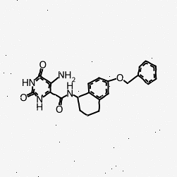 Nc1c(C(=O)NC2CCCc3cc(OCc4ccccc4)ccc32)[nH]c(=O)[nH]c1=O